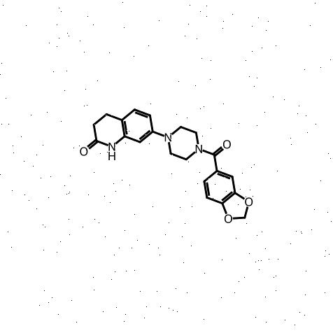 O=C1CCc2ccc(N3CCN(C(=O)c4ccc5c(c4)OCO5)CC3)cc2N1